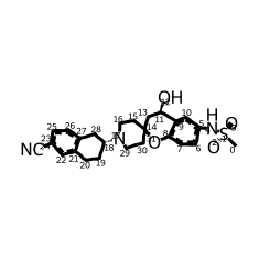 CS(=O)(=O)Nc1ccc2c(c1)[C@H](O)CC1(CCN([C@@H]3CCc4cc(C#N)ccc4C3)CC1)O2